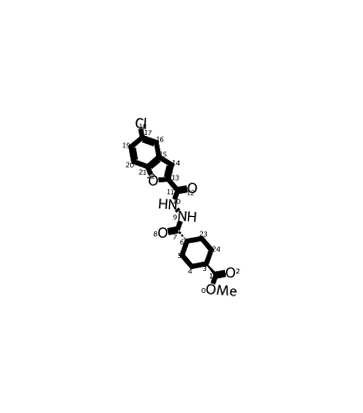 COC(=O)[C@H]1CC[C@H](C(=O)NNC(=O)c2cc3cc(Cl)ccc3o2)CC1